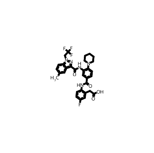 Cc1ccc2c(c1)c(C(=O)Nc1cc(C(=O)Nc3ccc(F)cc3CC(=O)O)ccc1N1CCCCC1)nn2CC(F)(F)F